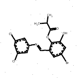 CC(C)C(=O)Oc1c(O)cc(Br)cc1C=Nc1cc(Cl)cc(Cl)c1